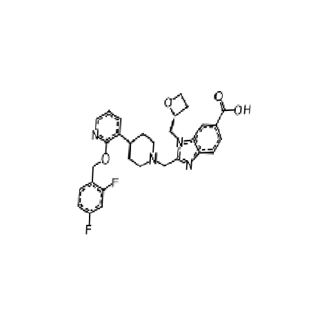 O=C(O)c1ccc2nc(CN3CCC(c4cccnc4OCc4ccc(F)cc4F)CC3)n(C[C@@H]3CCO3)c2c1